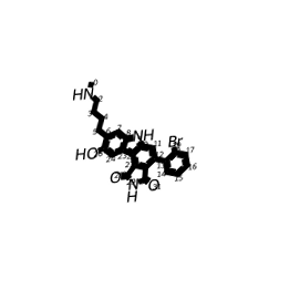 CNCCCCc1cc2[nH]c3cc(-c4ccccc4Br)c4c(c3c2cc1O)C(=O)NC4=O